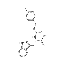 Cc1ccc(COC(=O)N[C@@H](Cc2c[nH]c3ccccc23)C(=O)O)cc1